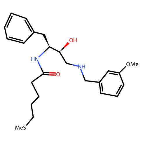 COc1cccc(CNC[C@H](O)[C@H](Cc2ccccc2)NC(=O)CCCCSC)c1